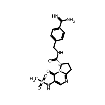 CS(=O)(=O)Nc1cnc2n(c1=O)[C@H](C(=O)NCc1ccc(C(=N)N)cc1)CC2